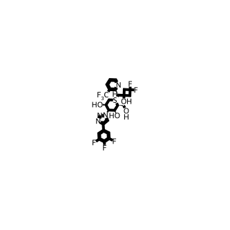 OC[C@@H]1[C@H](O)[C@@H](n2cc(-c3cc(F)c(F)c(F)c3)nn2)[C@@H](O)C[SH]1[C@H](c1ncccc1C(F)(F)F)C1(O)CC(F)(F)C1